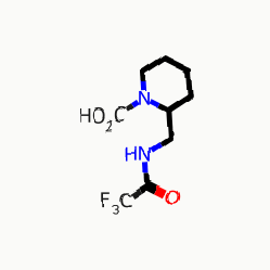 O=C(O)N1CCCCC1CNC(=O)C(F)(F)F